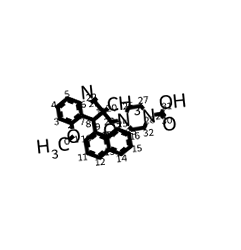 COc1ccccc1C(c1cccc2ccccc12)C(C)(C#N)C(=O)N1CCN(C(=O)O)CC1